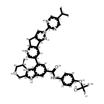 CC(C)c1cnc(-n2cc3c(n2)-c2cc(-c4cc(C(=O)Nc5ccc(OC(F)(F)Cl)cc5)cc5nc6n(c45)[C@H](C)COC6)cnc2C3)nc1